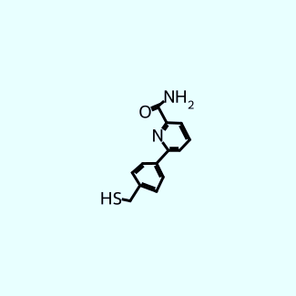 NC(=O)c1cccc(-c2ccc(CS)cc2)n1